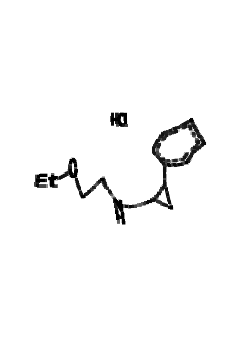 CCOCCNC1CC1c1ccccc1.Cl